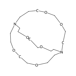 C1COCOCCN2CCOCCOCCN(C1)CCOCCOCC2